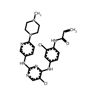 C=CC(=O)Nc1ccc(Nc2nc(Nc3ccc(N4CCN(C)CC4)nc3)ncc2Cl)cc1Cl